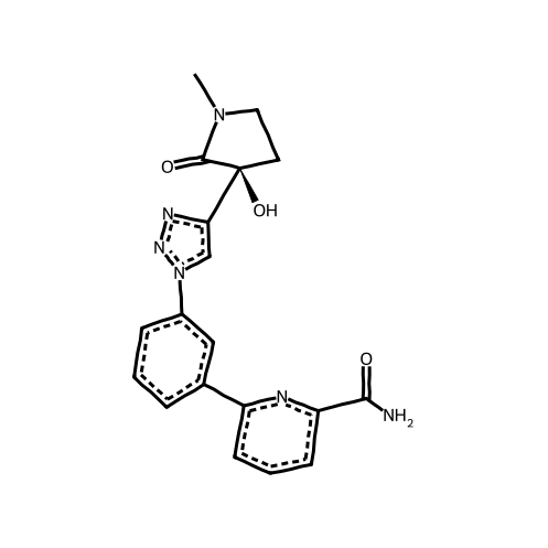 CN1CC[C@](O)(c2cn(-c3cccc(-c4cccc(C(N)=O)n4)c3)nn2)C1=O